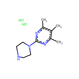 Cc1nc(N2CCNCC2)nc(C)c1C.Cl.Cl